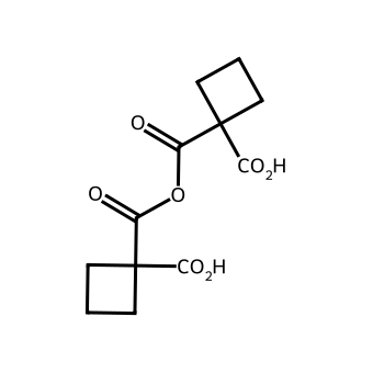 O=C(O)C1(C(=O)OC(=O)C2(C(=O)O)CCC2)CCC1